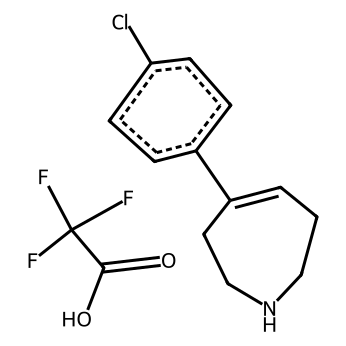 Clc1ccc(C2=CCCNCC2)cc1.O=C(O)C(F)(F)F